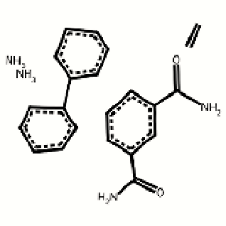 C=C.N.N.NC(=O)c1cccc(C(N)=O)c1.c1ccc(-c2ccccc2)cc1